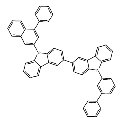 c1ccc(-c2cccc(-n3c4ccccc4c4cc(-c5ccc6c(c5)c5ccccc5n6-c5cc(-c6ccccc6)c6ccccc6c5)ccc43)c2)cc1